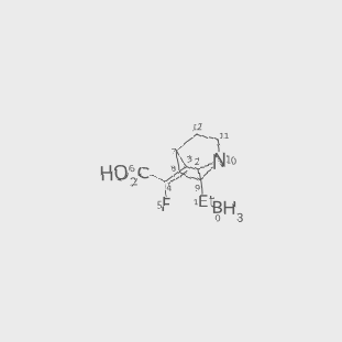 B.CCC1C(=C(F)C(=O)O)C2CCN1CC2